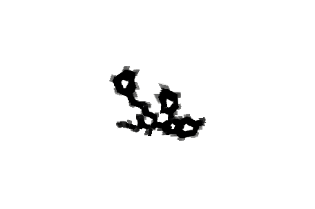 CC(C)(C)OC(=O)N[C@@H](CCOCc1ccccc1)c1nc2ccc(F)cc2n1-c1ccccn1